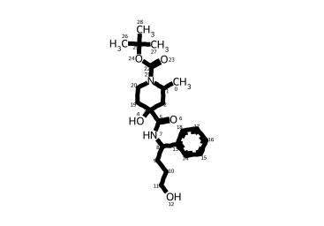 CC1CC(O)(C(=O)NC(CCCO)c2ccccc2)CCN1C(=O)OC(C)(C)C